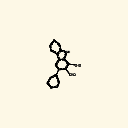 O=Cc1c(-c2ccccc2)cc2c([nH]c3ccccc32)c1C=O